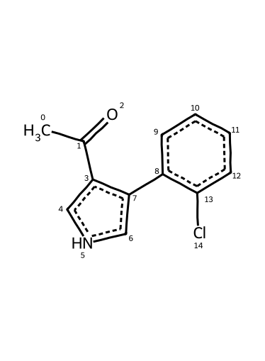 CC(=O)c1c[nH]cc1-c1ccccc1Cl